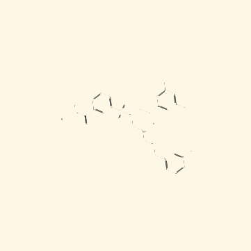 CCCN(CCC)C(=O)c1cccc(S(=O)(=O)N(CCc2cc(F)cc(F)c2)C[C@H](O)CNCc2cccc(I)c2)c1